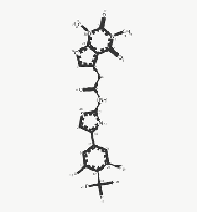 Cn1c(=O)c2c(CC(=O)Nc3nc(-c4cc(F)c(C(F)(F)F)c(F)c4)cs3)coc2n(C)c1=O